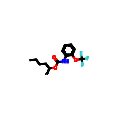 [CH2]C(CCCC)OC(=O)Nc1ccccc1OC(F)(F)F